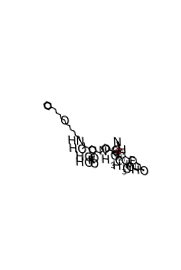 C[C@]12C=CC(=O)C=C1CCC1C3C[C@H]4OC(c5ccc[n+](Cc6ccc(C(O)CNCCCCCCOCCCCc7ccccc7)cc6OP(=O)(O)O)c5)O[C@@]4(C(=O)CC#N)[C@@]3(C)C[C@H](O)[C@@]12F